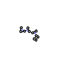 c1cc2cccc3c4cc(-n5c6ccccc6c6cc(-c7ccc8c(c7)c7ccccc7n8-c7ccc8c9cccc%10c%11ccccc%11n(c8c7)c%109)ccc65)cc5cccc(c(c1)c23)c54